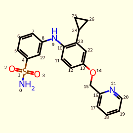 NS(=O)(=O)c1cccc(Nc2ccc(OCc3ccccn3)cc2C2CC2)c1